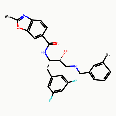 CCc1cccc(CNC[C@@H](O)[C@H](Cc2cc(F)cc(F)c2)NC(=O)c2ccc3nc(C(C)C)oc3c2)c1